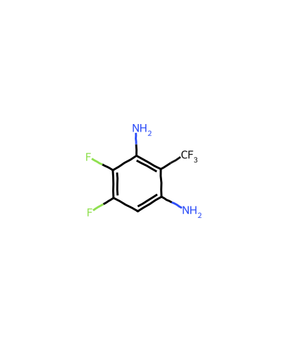 Nc1cc(F)c(F)c(N)c1C(F)(F)F